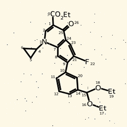 CCOC(=O)c1cn(C2CC2)c2cc(-c3cccc(C(OCC)OCC)c3)c(F)cc2c1=O